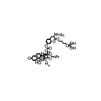 CCCC1O[C@@H]2C[C@H]3[C@@H]4CCC5=CC(=O)C=C[C@]5(C)[C@H]4[C@@H](O)C[C@]3(C)[C@]2(C(=O)COC(=O)Oc2ccc(CC(NC(C)=O)C(=O)OCCCCON(O)O)cc2)O1